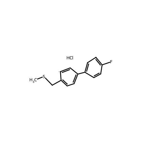 CSCc1[c]cc(-c2ccc(F)cc2)cc1.Cl